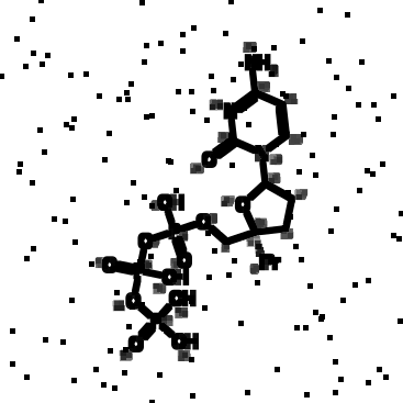 CC(C)[C@@]1(COP(=O)(O)OP(=O)(O)OP(=O)(O)O)CCC(n2ccc(N)nc2=O)O1